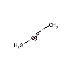 CCCCCCCCCCCCOC(=O)C=Cc1ccc(CCCCCCCCCCCC)cc1